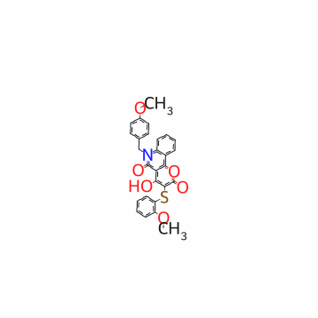 COc1ccc(Cn2c(=O)c3c(O)c(Sc4ccccc4OC)c(=O)oc3c3ccccc32)cc1